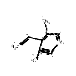 C=Cc1c(C)cncc1O